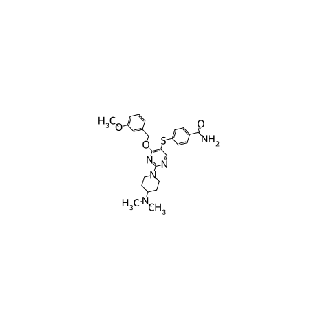 COc1cccc(COc2nc(N3CCC(N(C)C)CC3)ncc2Sc2ccc(C(N)=O)cc2)c1